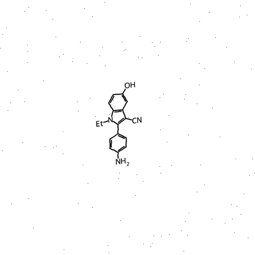 CCn1c(-c2ccc(N)cc2)c(C#N)c2cc(O)ccc21